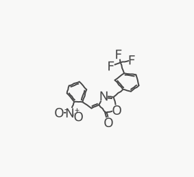 O=C1OC(c2cccc(C(F)(F)F)c2)=NC1=Cc1ccccc1[N+](=O)[O-]